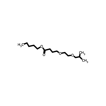 CCCCCOC(=O)CCCOCCOCC(C)C